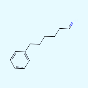 N=CCCCCCc1ccccc1